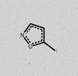 [C]c1ccno1